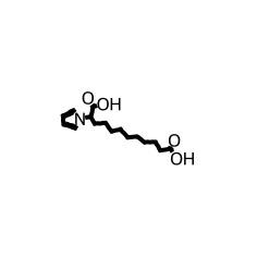 O=C(O)CCCCCCCCCC(C(=O)O)n1cccc1